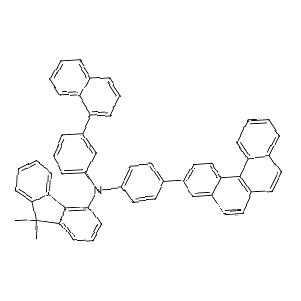 CC1(C)c2ccccc2-c2c(N(c3ccc(-c4ccc5c(ccc6ccc7ccccc7c65)c4)cc3)c3cccc(-c4cccc5ccccc45)c3)cccc21